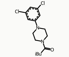 CCC(C)C(=O)N1CCN(c2cc(Cl)cc(Cl)c2)CC1